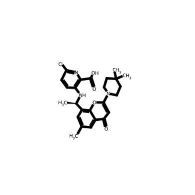 Cc1cc([C@@H](C)Nc2ccc(Cl)nc2C(=O)O)c2oc(N3CCC(C)(C)CC3)cc(=O)c2c1